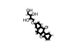 CC1(C)c2cc(OCC(O)C(O)CO)ccc2C(=O)c2c1oc1ccccc21